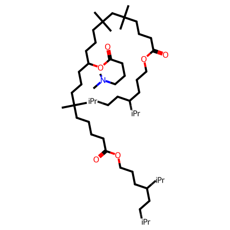 CC(C)CCC(CCCOC(=O)CCCCC(C)(C)CCCC(CCCC(C)(C)CC(C)(C)CCCC(=O)OCCCC(CCC(C)C)C(C)C)OC(=O)CCCN(C)C)C(C)C